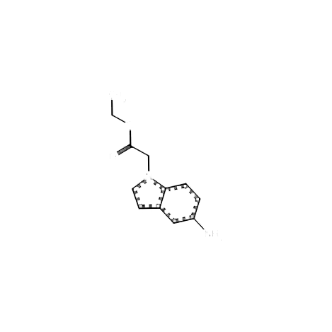 CCOC(=O)Cn1ccc2cc(N)ccc21